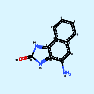 Nc1cc2ccccc2c2c1=NC(=O)N=2